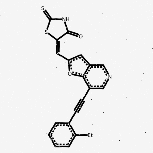 CCc1ccccc1C#Cc1cncc2cc(C=C3SC(=S)NC3=O)oc12